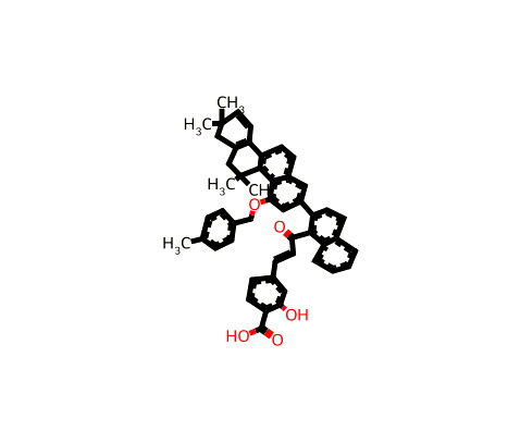 Cc1ccc(COc2cc(-c3ccc4ccccc4c3C(=O)C=Cc3ccc(C(=O)O)c(O)c3)cc3ccc4c(c23)C(C)(C)CC2=C4C=CC(C)(C)C2)cc1